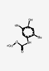 CCCCCCCCOC(=O)Nc1cc(C(C)(C)C)c(O)cc1C(C)(C)C